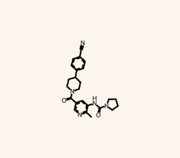 Cc1ncc(C(=O)N2CCC(c3ccc(C#N)cc3)CC2)cc1NC(=O)N1CCCC1